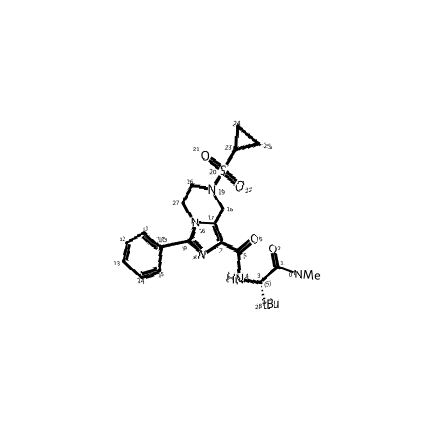 CNC(=O)[C@@H](NC(=O)c1nc(-c2ccccc2)n2c1CN(S(=O)(=O)C1CC1)CC2)C(C)(C)C